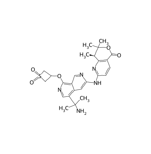 C[C@@H]1c2nc(Nc3cc4c(C(C)(C)N)cnc(OC5CS(=O)(=O)C5)c4cn3)ccc2C(=O)OC1(C)C